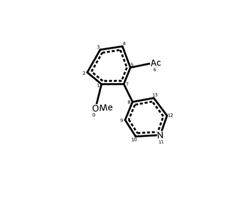 COc1cccc(C(C)=O)c1-c1ccncc1